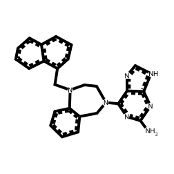 Nc1nc(N2CCN(Cc3cccc4ccccc34)c3ccccc3C2)c2nc[nH]c2n1